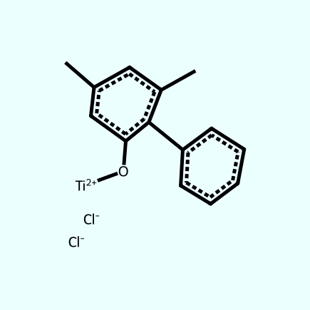 Cc1cc(C)c(-c2ccccc2)c([O][Ti+2])c1.[Cl-].[Cl-]